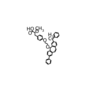 COC(Cc1ccc(OCCOC2c3ccc(-c4ccccc4)cc3C=Cc3ccc(C(C)c4ccccc4)cc32)cc1)C(=O)O